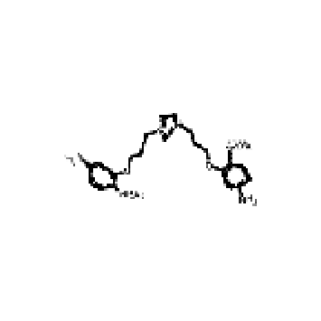 CC(=O)Nc1ccc(N)cc1OCCCn1cc[n+](CCCOc2cc(N)ccc2NC(C)=O)c1